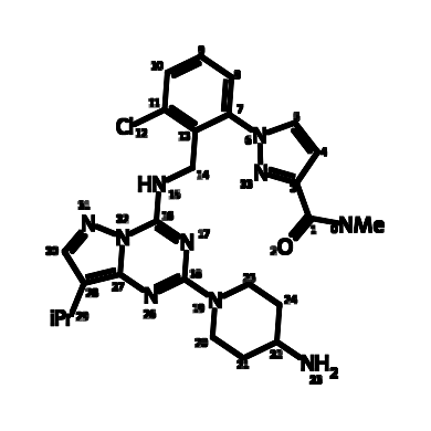 CNC(=O)c1ccn(-c2cccc(Cl)c2CNc2nc(N3CCC(N)CC3)nc3c(C(C)C)cnn23)n1